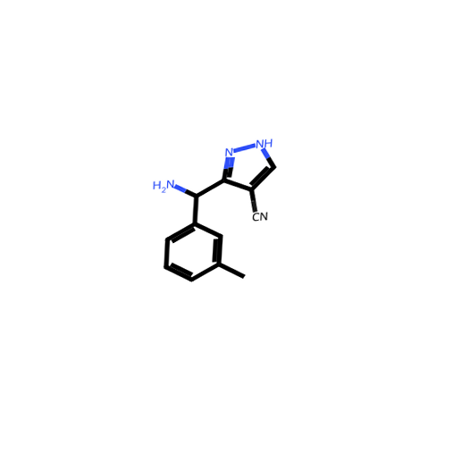 Cc1cccc(C(N)c2n[nH]cc2C#N)c1